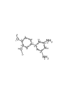 COc1ccc(-c2cc(N)nc(N)n2)cc1OC